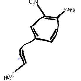 CNc1ccc(/C=C/C(=O)O)cc1[N+](=O)[O-]